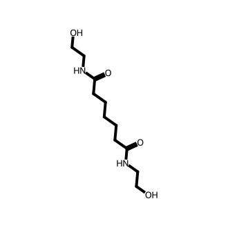 O=C(CCCCCC(=O)NCCO)NCCO